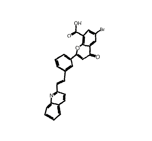 O=C(O)c1cc(Br)cc2c(=O)cc(-c3cccc(C=Cc4ccc5ccccc5n4)c3)oc12